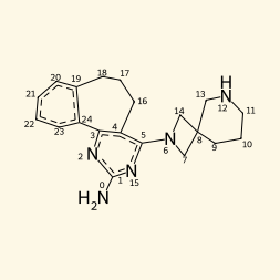 Nc1nc2c(c(N3CC4(CCCNC4)C3)n1)CCCc1ccccc1-2